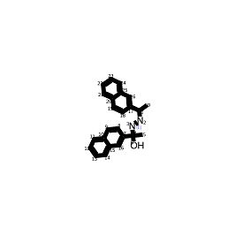 CC(/N=N/C(C)(O)c1ccc2ccccc2c1)c1ccc2ccccc2c1